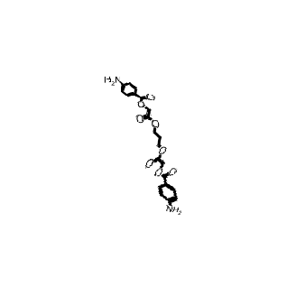 Nc1ccc(C(=O)OCC(=O)OCCCOC(=O)COC(=O)c2ccc(N)cc2)cc1